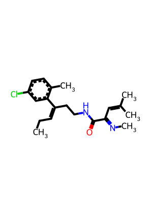 CC/C=C(/CCNC(=O)/C(C=C(C)C)=N/C)c1cc(Cl)ccc1C